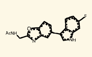 CC(=O)NCc1nc2cc(-c3c[nH]c4cc(F)ccc34)ccc2o1